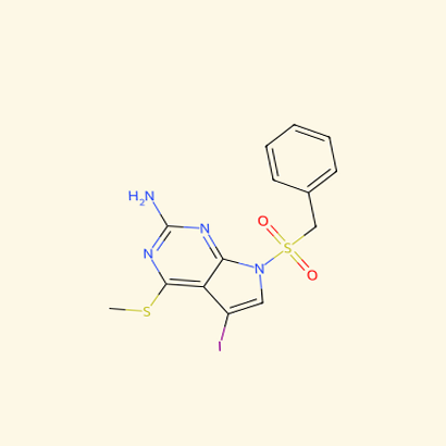 CSc1nc(N)nc2c1c(I)cn2S(=O)(=O)Cc1ccccc1